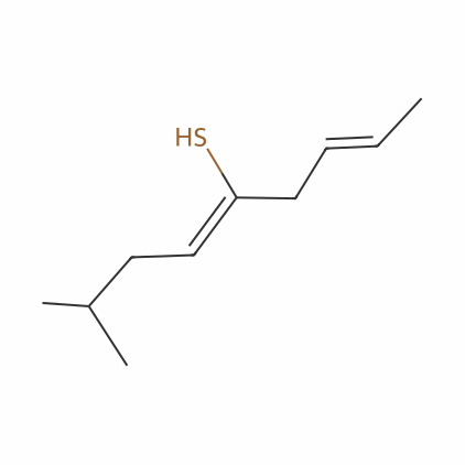 CC=CC/C(S)=C/CC(C)C